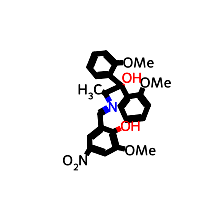 COc1ccccc1C(O)(c1ccccc1OC)C(C)N=Cc1cc([N+](=O)[O-])cc(OC)c1O